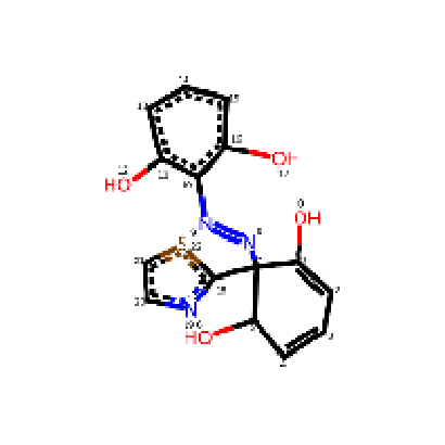 OC1=CC=CC(O)C1(N=Nc1c(O)cccc1O)c1nccs1